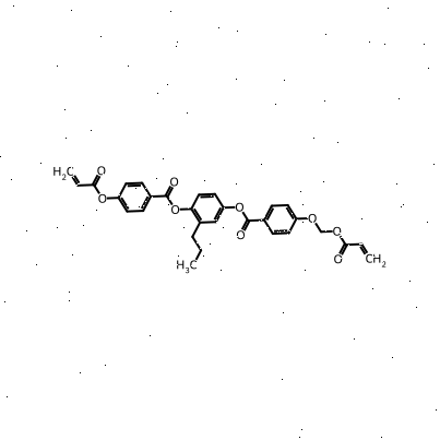 C=CC(=O)OCOc1ccc(C(=O)Oc2ccc(OC(=O)c3ccc(OC(=O)C=C)cc3)c(CCC)c2)cc1